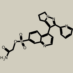 NC(=O)COS(=O)(=O)c1ccc2c(-c3c(-c4ccccn4)nn4c3CCC4)ccnc2c1